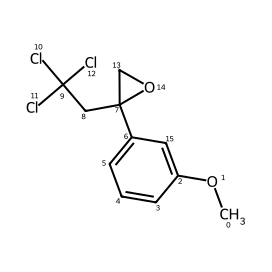 COc1cccc(C2(CC(Cl)(Cl)Cl)CO2)c1